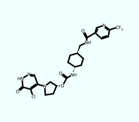 O=C(N[C@H]1CC[C@H](CNC(=O)c2ccc(C(F)(F)F)nc2)CC1)O[C@@H]1CCN(c2cn[nH]c(=O)c2Cl)C1